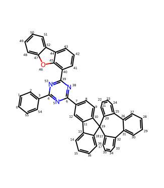 c1ccc(-c2nc(-c3ccc4c(c3)-c3ccccc3C43c4ccccc4-c4ccccc4-c4ccccc43)nc(-c3cccc4c3oc3ccccc34)n2)cc1